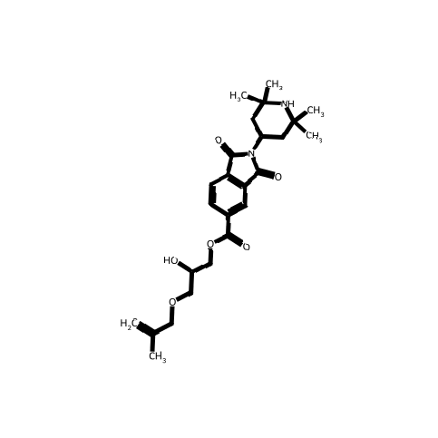 C=C(C)COCC(O)COC(=O)c1ccc2c(c1)C(=O)N(C1CC(C)(C)NC(C)(C)C1)C2=O